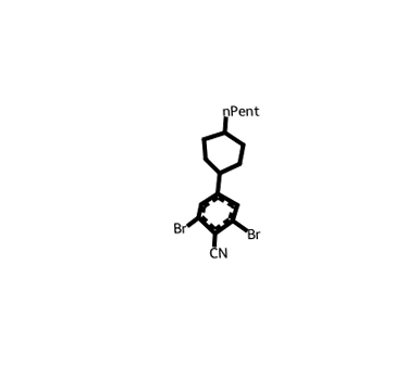 CCCCCC1CCC(c2cc(Br)c(C#N)c(Br)c2)CC1